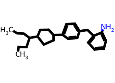 CCCC(CCC)C1CCC(c2ccc(Cc3ccccc3N)cc2)CC1